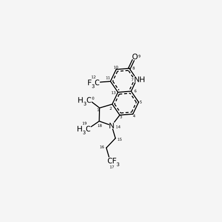 CC1c2c(ccc3[nH]c(=O)cc(C(F)(F)F)c23)N(CCC(F)(F)F)C1C